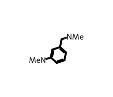 CNCc1cccc(NC)c1